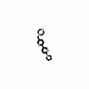 c1cc(-c2ccc(N3CCCC3)nc2)ncc1CN1CCOCC1